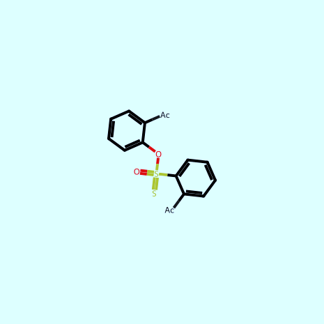 CC(=O)c1ccccc1OS(=O)(=S)c1ccccc1C(C)=O